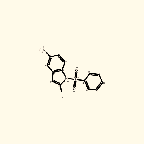 O=[N+]([O-])c1ccc2c(c1)cc(I)n2S(=O)(=O)c1ccccc1